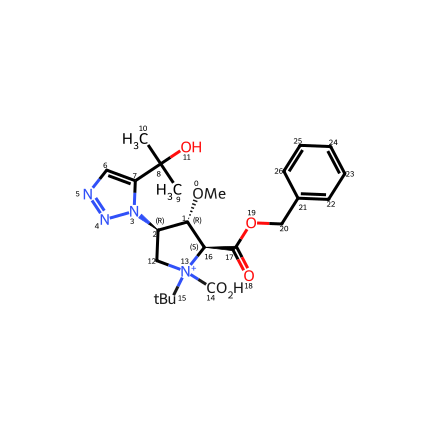 CO[C@H]1[C@H](n2nncc2C(C)(C)O)C[N+](C(=O)O)(C(C)(C)C)[C@@H]1C(=O)OCc1ccccc1